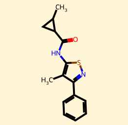 Cc1c(-c2ccccc2)nsc1NC(=O)C1CC1C